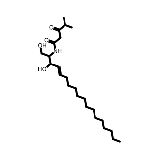 CCCCCCCCCCCCCC=CC(O)C(CO)NC(=O)CC(=O)C(C)C